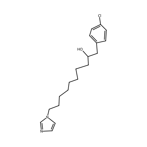 OC(CCCCCCCCn1ccnc1)Cc1ccc(Cl)cc1